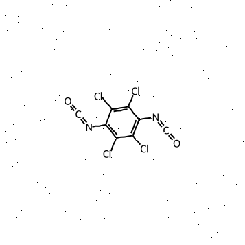 O=C=Nc1c(Cl)c(Cl)c(N=C=O)c(Cl)c1Cl